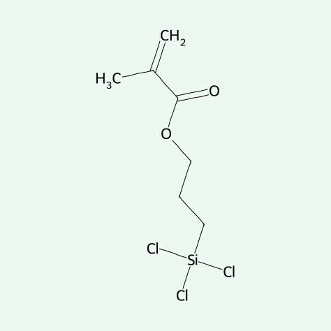 C=C(C)C(=O)OCCC[Si](Cl)(Cl)Cl